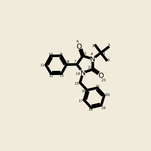 CC(C)(C)N1C(=O)C(c2ccccc2)N(Cc2ccccc2)C1=O